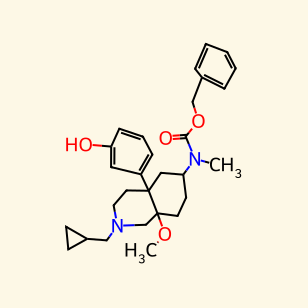 COC12CCC(N(C)C(=O)OCc3ccccc3)CC1(c1cccc(O)c1)CCN(CC1CC1)C2